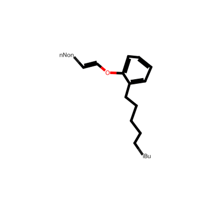 CCCCCCCCCC=COc1c[c]ccc1CCCCCC(C)CC